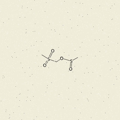 CS(=O)OCS(C)(=O)=O